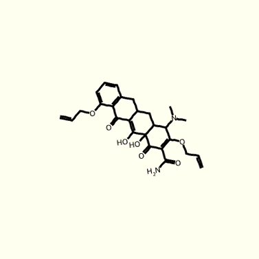 C=CCOC1=C(C(N)=O)C(=O)C2(O)C(O)=C3C(=O)c4c(cccc4OCC=C)CC3CC2C1N(C)C